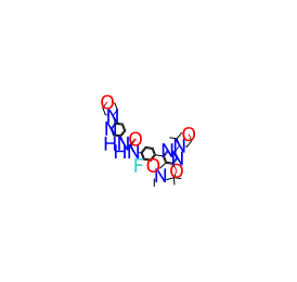 CCN1CC(C)(C)Oc2nc(N3CCOCC3C)nc(-c3ccc(NC(=O)Nc4ccc(N5CCOCC5)nc4)c(F)c3)c2C1=O